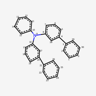 c1ccc(-c2cccc(N(c3ccccc3)c3cccc(-c4ccccc4)c3)c2)cc1